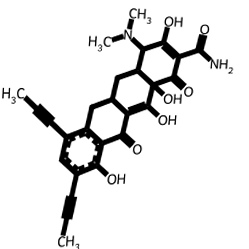 CC#Cc1cc(C#CC)c2c(c1O)C(=O)C1=C(O)C3(O)C(=O)C(C(N)=O)=C(O)C(N(C)C)C3CC1C2